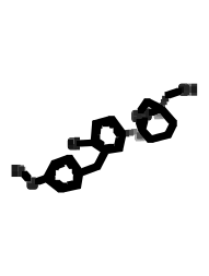 CCOc1ccc(Cc2cc([C@]34CCC[C@](CO)(CO3)O4)ccc2Cl)cc1